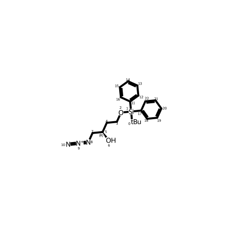 CC(C)(C)[Si](OCC[C@@H](O)CN=[N+]=[N-])(c1ccccc1)c1ccccc1